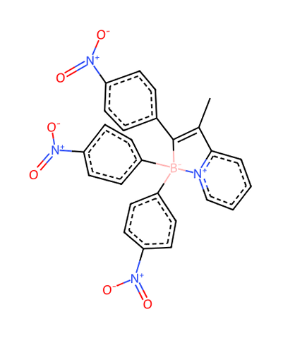 CC1=C(c2ccc([N+](=O)[O-])cc2)[B-](c2ccc([N+](=O)[O-])cc2)(c2ccc([N+](=O)[O-])cc2)[n+]2ccccc21